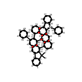 CC1(C)c2ccccc2-c2cccc(-c3ccccc3N(c3ccc4c5ccccc5n(-c5ccccc5)c4c3)c3cccc(-c4ccccc4)c3-c3ccccc3-c3ccccc3)c21